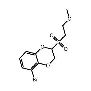 COCCS(=O)(=O)C1COc2c(Br)cccc2O1